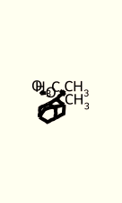 CC(C)(C)C1(OC=O)C2CC3CC(C2)CC1C3